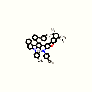 Cc1ccc(Nc2cc3oc4cc5c(cc4c3cc2-c2cc(-c3ccccc3-c3ccccc3)c3c4c6ccccc6ccc4n4c3c2Bc2cc(C)ccc2-4)C(C)(C)CCC5(C)C)cc1